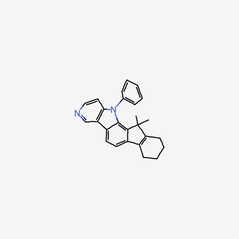 CC1(C)C2=C(CCCC2)c2ccc3c4cnccc4n(-c4ccccc4)c3c21